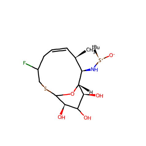 C[C@@H]1/C=C\CC(F)CSC2O[C@H]([C@@H]1N[S@+]([O-])C(C)(C)C)[C@@H](O)C(O)[C@H]2O